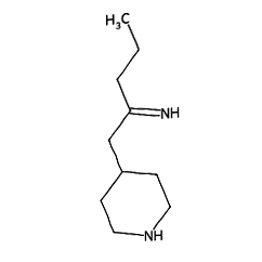 CCCC(=N)CC1CCNCC1